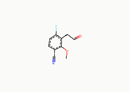 COc1c(C#N)ccc(F)c1CC=O